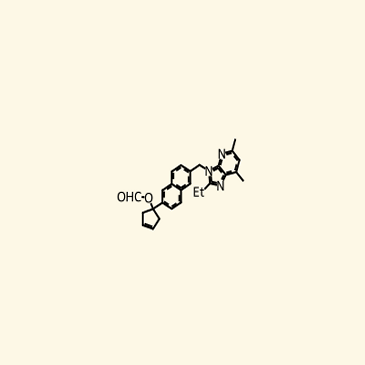 CCc1nc2c(C)cc(C)nc2n1Cc1ccc2cc(C3(OC=O)CC=CC3)ccc2c1